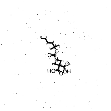 CCCCC(C)(C)OC(=O)N1CC(C(=O)O)(C(=O)O)C1